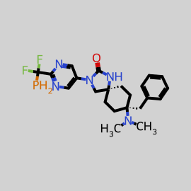 CN(C)[C@]1(Cc2ccccc2)CC[C@]2(CC1)CN(c1cnc(C(F)(F)P)nc1)C(=O)N2